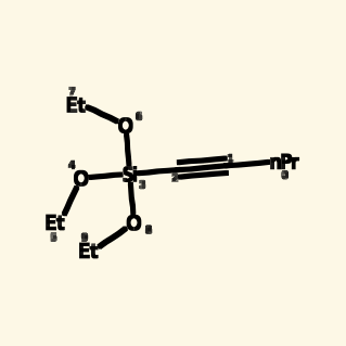 CCCC#C[Si](OCC)(OCC)OCC